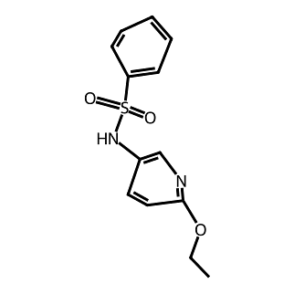 CCOc1ccc(NS(=O)(=O)c2ccccc2)cn1